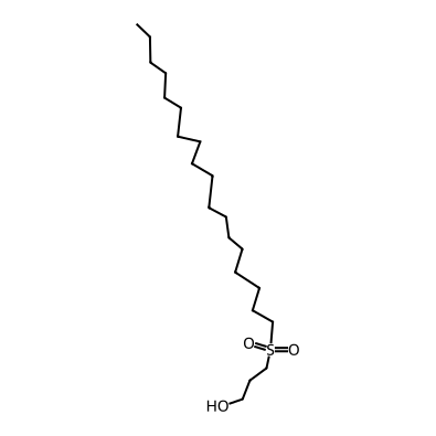 CCCCCCCCCCCCCCCCCCS(=O)(=O)CCCO